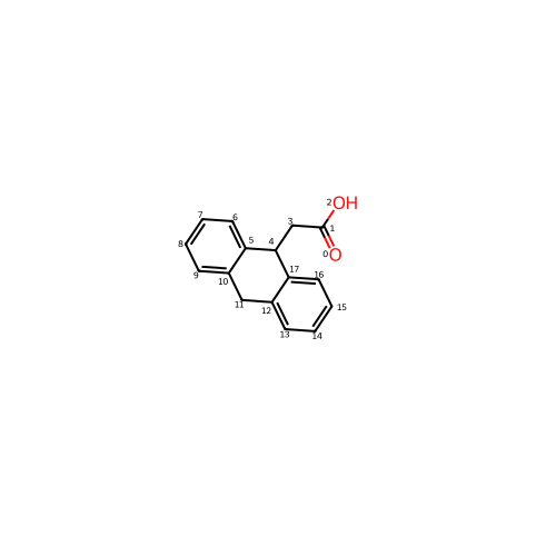 O=C(O)CC1c2ccccc2Cc2ccccc21